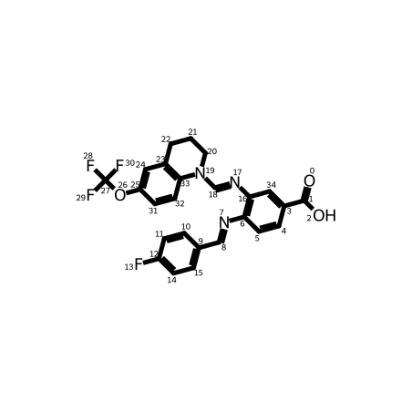 O=C(O)c1ccc(/N=C/c2ccc(F)cc2)c(/N=C/N2CCCc3cc(OC(F)(F)F)ccc32)c1